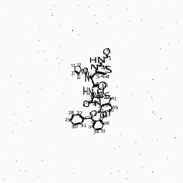 O=CNc1nc(C(=NOC2C=CCC2)C(=O)N[C@@H]2C(=O)N3C(C(=O)OC(c4ccccc4)c4ccccc4)=C(CCl)CS[C@@H]23)cs1